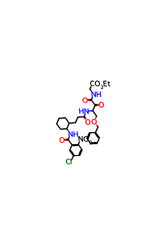 CCOC(=O)CNC(=O)C(=O)C(COCc1ccccc1)NC(=O)CCC1CCCCC1NC(=O)c1cc(Cl)ccc1[N+](=O)[O-]